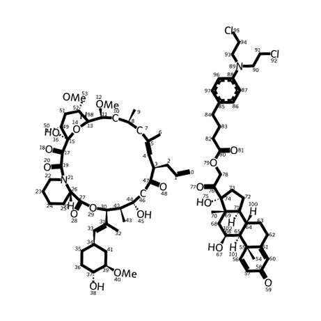 C=CC[C@@H]1/C=C(\C)C[C@H](C)C[C@H](OC)[C@H]2O[C@@](O)(C(=O)C(=O)N3CCCC[C@H]3C(=O)O[C@H](/C(C)=C/[C@@H]3CC[C@@H](O)[C@H](OC)C3)[C@H](C)[C@@H](O)CC1=O)[C@H](C)C[C@@H]2OC.C[C@]12C=CC(=O)C=C1CC[C@@H]1[C@@H]2[C@@H](O)C[C@@]2(C)[C@H]1CC[C@]2(O)C(=O)COC(=O)CCCc1ccc(N(CCCl)CCCl)cc1